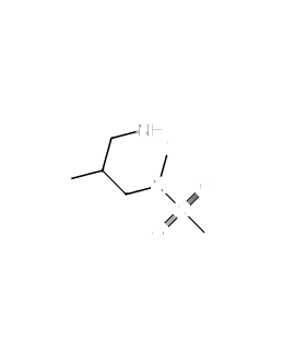 CC(CN)CN(C)S(C)(=O)=O